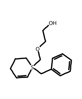 OCCOCS1(Cc2ccccc2)C=CCCC1